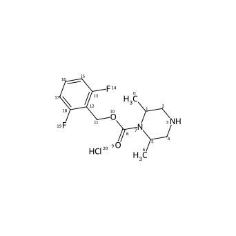 CC1CNCC(C)N1C(=O)OCc1c(F)cccc1F.Cl